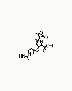 CC(=N)N1CC[C@H](SC2C[C@](C)([C@@H]3C(=O)O[C@@H]3C)N=C2C(=O)O)C1